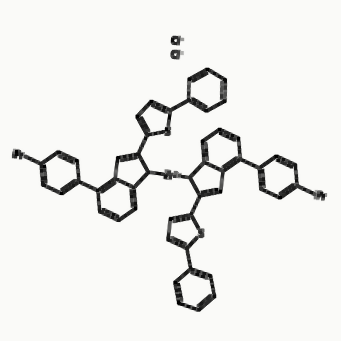 CC(C)c1ccc(-c2cccc3c2C=C(c2ccc(-c4ccccc4)s2)[CH]3[Zr+2][CH]2C(c3ccc(-c4ccccc4)s3)=Cc3c(-c4ccc(C(C)C)cc4)cccc32)cc1.[Cl-].[Cl-]